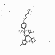 Cc1cnc(C2=C(c3nnn[nH]3)C(=O)NC(c3ccc(OCCCC(F)(F)F)cc3)(C(F)(F)F)C2)s1